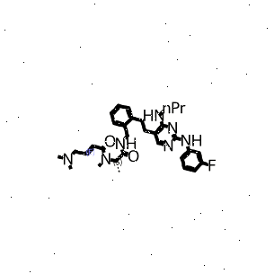 CCCNc1nc(Nc2cccc(F)c2)ncc1CCc1ccccc1CNC(=O)[C@H](C)N(C)C(=O)/C=C/CN(C)C